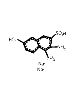 Nc1c(S(=O)(=O)O)cc2cc(S(=O)(=O)O)ccc2c1S(=O)(=O)O.[Na].[Na]